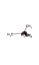 CCCCCCCCCCCCCCCCCCCCC(=O)OC[C@H](COP(=O)(O)OCC[N+](C)(C)C)OC(=O)CCCCCCCCCCCCC